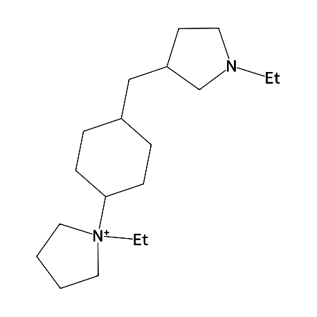 CCN1CCC(CC2CCC([N+]3(CC)CCCC3)CC2)C1